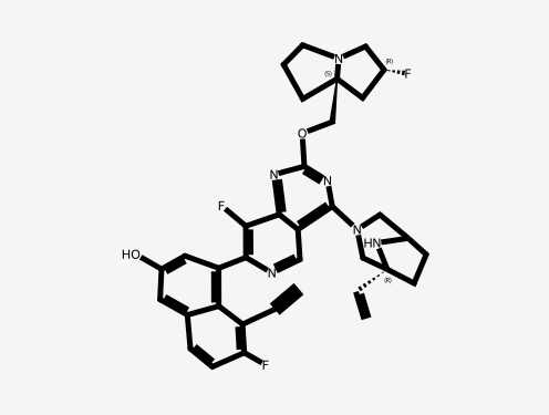 C#Cc1c(F)ccc2cc(O)cc(-c3ncc4c(N5CC6CC[C@@](C=C)(C5)N6)nc(OC[C@@]56CCCN5C[C@H](F)C6)nc4c3F)c12